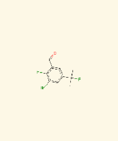 CC(C)(F)c1cc(Br)c(F)c(C=O)c1